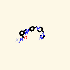 NC(=O)c1cccc2cn(-c3ccc(CN4CCC(Cn5ccnc5)CC4)cc3)nc12